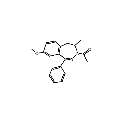 COc1ccc2c(c1)C(c1ccccc1)=NN(C(C)=O)C(C)C2